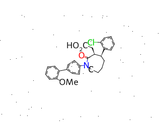 COc1ccccc1-c1ccc(N2CCCC[C@H](c3ccccc3Cl)[C@H](CC(=O)O)C2=O)cc1